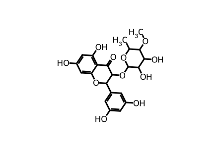 COC1C(C)OC(OC2C(=O)c3c(O)cc(O)cc3OC2c2cc(O)cc(O)c2)C(O)C1O